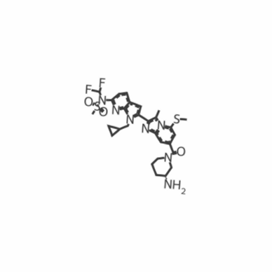 CSc1cc(C(=O)N2CCC[C@@H](N)C2)cc2nc(-c3cc4ccc(N(C(F)F)S(C)(=O)=O)nc4n3CC3CC3)c(C)n12